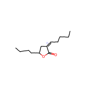 CCCC/C=C1/CC(CCCC)OC1=O